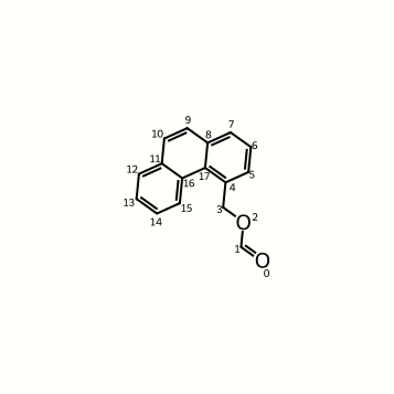 O=COCc1cccc2ccc3ccccc3c12